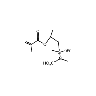 C=C(C)C(=O)OC(C)C[Si](C)(CCC)N(C)C(=O)O